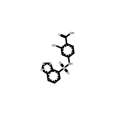 O=C(O)c1ccc(NS(=O)(=O)c2cccc3onnc23)cc1O